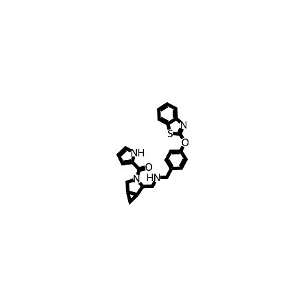 O=C(c1ccc[nH]1)N1CC2CC2C1CNCc1ccc(Oc2nc3ccccc3s2)cc1